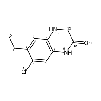 CCc1cc2c(cc1Cl)NC(=O)CN2